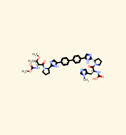 COC(=O)N[C@H](C(=O)N1CCCC1c1ncc(-c2ccc(-c3ccc(-c4cnc([C@@H]5CCCN5C(=O)[C@H](Cc5cncn5C)NC(=O)O)[nH]4)cc3)cc2)[nH]1)[C@@H](C)OC